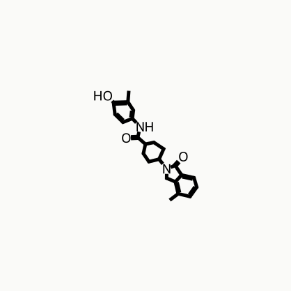 Cc1cc(NC(=O)C2CCC(N3Cc4c(C)cccc4C3=O)CC2)ccc1O